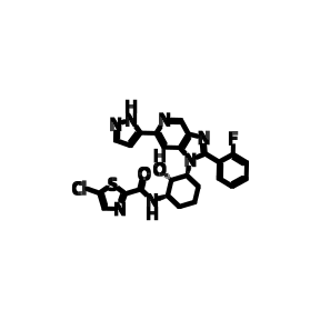 O=C(N[C@@H]1CCC[C@H](n2c(-c3ccccc3F)nc3cnc(-c4ccn[nH]4)cc32)[C@H]1O)c1ncc(Cl)s1